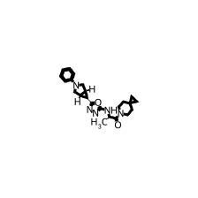 C[C@H](Nc1nnc([C@@H]2[C@@H]3CN(c4ccccc4)C[C@@H]32)o1)C(=O)N1CCC2(CC1)CC2